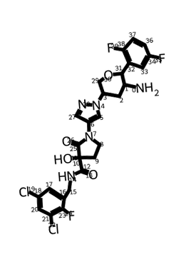 NC1CC(n2cc(N3CCC(O)(C(=O)NCc4cc(Cl)cc(Cl)c4F)C3=O)cn2)COC1c1cc(F)ccc1F